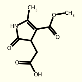 COC(=O)C1=C(C)NC(=O)C1CC(=O)O